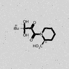 CC[C@@H](C)C(O)(O)C(=O)C(=O)N1CCCC[C@H]1C(=O)O